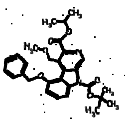 COCc1c(C(=O)OC(C)C)ncc2c1c1c(OCc3ccccc3)cccc1n2C(=O)OC(C)(C)C